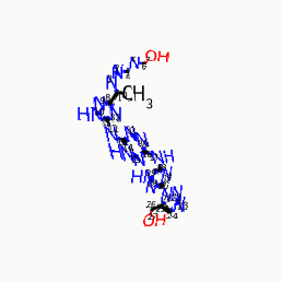 CC(/N=N\C=N\CO)c1n[nH]c(Nc2nnc(Nc3nc(-n4nncc4CO)n[nH]3)nn2)n1